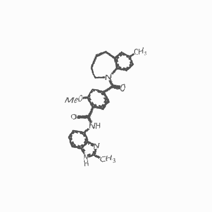 COc1cc(C(=O)N2CCCCc3cc(C)ccc32)ccc1C(=O)Nc1cccc2[nH]c(C)nc12